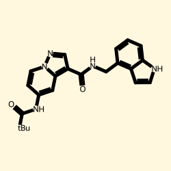 CC(C)(C)C(=O)Nc1ccn2ncc(C(=O)NCc3cccc4[nH]ccc34)c2c1